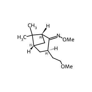 COCC[C@H]1C[C@H]2C[C@@H](C1=NOC)C2(C)C